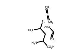 C=C=C.C=COC(C)=O.CCC(CC(N)C(=O)O)C(=O)O